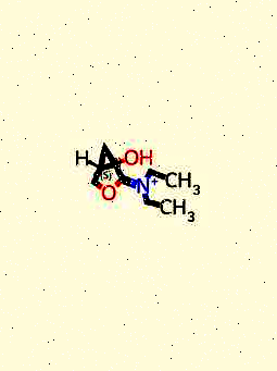 CC[N+](CC)=C1OC[C@@H]2C[C@]12O